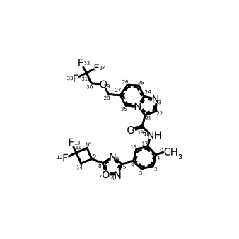 Cc1ccc(-c2noc(C3CC(F)(F)C3)n2)cc1NC(=O)c1cnc2ccc(COCC(F)(F)F)cn12